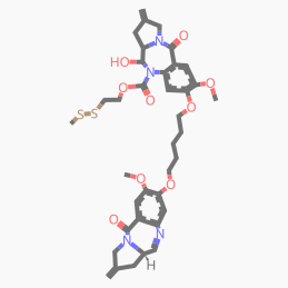 C=C1CC2C(O)N(C(=O)OCCSSC)c3cc(OCCCCCOc4cc5c(cc4OC)C(=O)N4CC(=C)C[C@@H]4C=N5)c(OC)cc3C(=O)N2C1